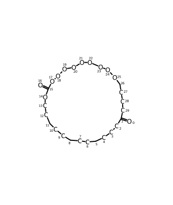 O=C1CCCCCCCCCCCCOC(=O)OOOOOOOOOCCCC1